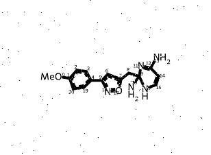 COc1ccc(-c2cc(CC3(N)N=C(N)C=CN3)on2)cc1